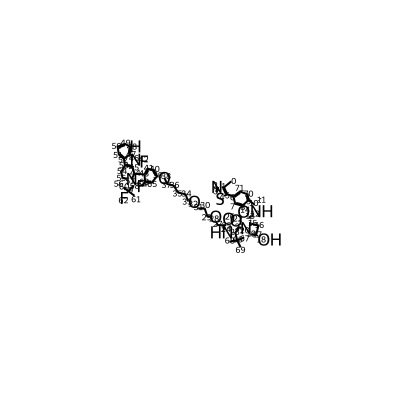 Cc1ncsc1-c1ccc([C@H](C)NC(=O)[C@@H]2C[C@@H](O)CN2C(=O)[C@@H](NC(=O)COCCCOCCCCCOc2cc(F)c(C3c4[nH]c5ccccc5c4C[C@@H](C)N3CC(C)(C)F)c(F)c2)C(C)(C)C)cc1